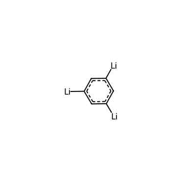 [Li][c]1c[c]([Li])c[c]([Li])c1